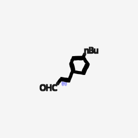 CCCCc1ccc(/C=C/C=O)cc1